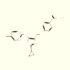 COC(=O)c1ccc(OCc2nc(C3CC3)oc2Sc2ccc(Cl)cn2)cc1